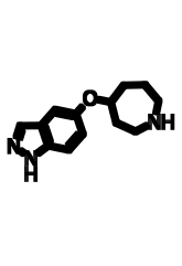 c1cc2[nH]ncc2cc1OC1CCCNCC1